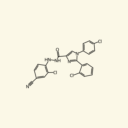 N#Cc1ccc(NNC(=O)c2cn(-c3ccc(Cl)cc3)c(-c3ccccc3Cl)n2)c(Cl)c1